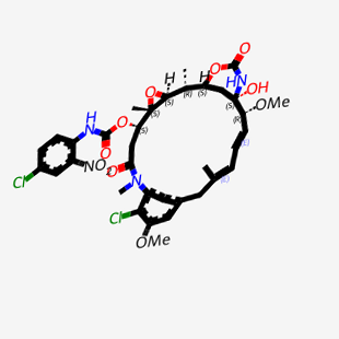 COc1cc2cc(c1Cl)N(C)C(=O)C[C@H](OC(=O)Nc1ccc(Cl)cc1[N+](=O)[O-])[C@]1(C)O[C@H]1[C@H](C)[C@@H]1C[C@@](O)(NC(=O)O1)[C@H](OC)/C=C/C=C(\C)C2